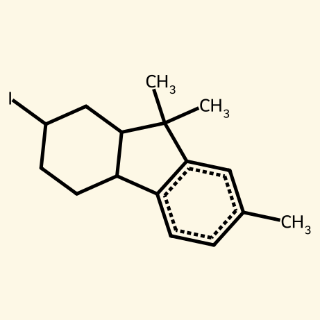 Cc1ccc2c(c1)C(C)(C)C1CC(I)CCC21